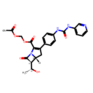 C[C@@H](O)[C@H]1C(=O)N2C(C(=O)OCOC(=O)C(C)(C)C)=C(c3ccc(NC(=O)Nc4cccnc4)cc3)C[C@H]12